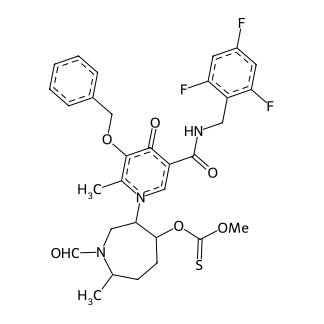 COC(=S)OC1CCC(C)N(C=O)CC1n1cc(C(=O)NCc2c(F)cc(F)cc2F)c(=O)c(OCc2ccccc2)c1C